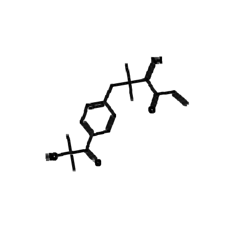 C=CC(=O)C(=N)C(C)(C)Cc1ccc(C(=O)C(C)(C)O)cc1